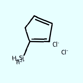 [Cl-].[Cl-].[SiH3]C1=CC=CC1.[Ti+2]